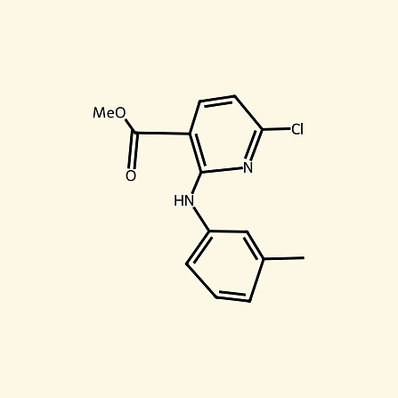 COC(=O)c1ccc(Cl)nc1Nc1cccc(C)c1